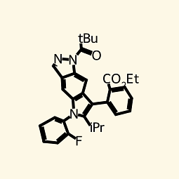 CCOC(=O)c1ccccc1-c1c(C(C)C)n(-c2ccccc2F)c2cc3cnn(C(=O)C(C)(C)C)c3cc12